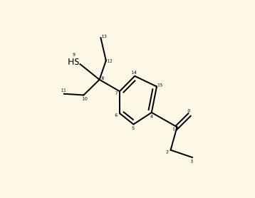 C=C(CC)c1ccc(C(S)(CC)CC)cc1